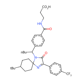 CCCCC(c1ccc(C(=O)NCCC(=O)O)cc1)N1C(=O)C(c2ccc(C(F)(F)F)cc2)=NC12CCC(C(C)(C)C)CC2